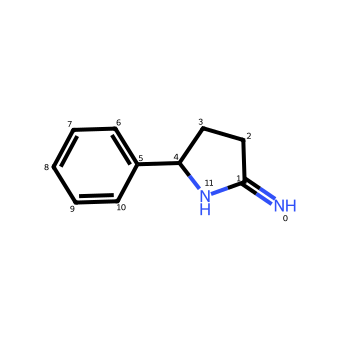 N=C1CCC(c2ccccc2)N1